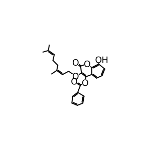 CC(C)=CCCC(C)=CCOc1c(OC(=O)c2ccccc2)c2cccc(O)c2oc1=O